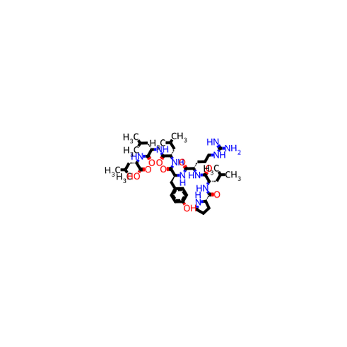 CC(C)C[C@H](NC(=O)[C@H](CC(C)C)NC(=O)[C@H](CC(C)C)NC(=O)[C@H](Cc1ccc(O)cc1)NC(=O)[C@H](CCCNC(=N)N)NC(=O)[C@H](CC(C)C)NC(=O)[C@@H]1CCCN1)C(=O)O